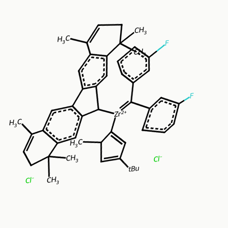 CC1=CCC(C)(C)c2cc3c(cc21)-c1cc2c(cc1[CH]3[Zr+2]([C]1=CC(C(C)(C)C)=CC1C)=[C](c1cccc(F)c1)c1cccc(F)c1)C(C)(C)CC=C2C.[Cl-].[Cl-]